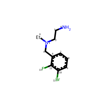 CCN(CCN)Cc1cccc(Br)c1F